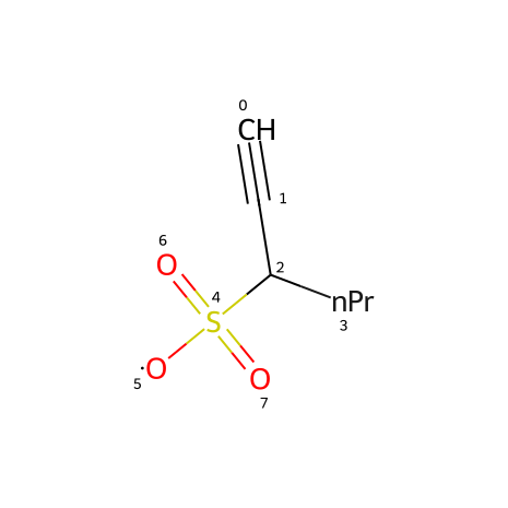 C#CC(CCC)S([O])(=O)=O